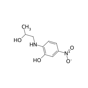 CC(O)CNc1ccc([N+](=O)[O-])cc1O